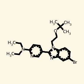 CCN(CC)c1ccc(-c2nc3cc(Br)ccc3n2CCOC(C)(C)C)cn1